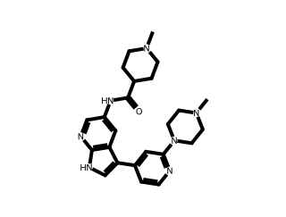 CN1CCC(C(=O)Nc2cnc3[nH]cc(-c4ccnc(N5CCN(C)CC5)c4)c3c2)CC1